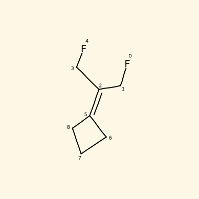 FCC(CF)=C1CCC1